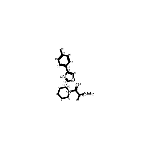 CSC(C)C(=O)N1CCCC[C@@H]1c1nc(-c2ccc(C)cc2)co1